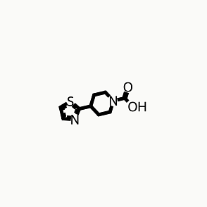 O=C(O)N1CCC(c2nccs2)CC1